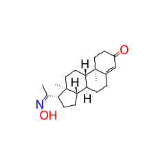 C/C(=N/O)[C@H]1CC[C@H]2[C@@H]3CCC4=CC(=O)CC[C@]4(C)[C@H]3CC[C@]12C